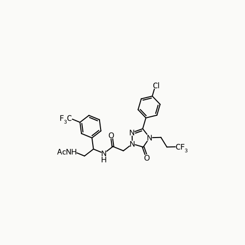 CC(=O)NCC(NC(=O)Cn1nc(-c2ccc(Cl)cc2)n(CCC(F)(F)F)c1=O)c1cccc(C(F)(F)F)c1